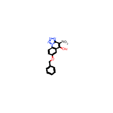 O=[N+]([O-])c1c(O)c2cc(OCc3ccccc3)ccc2n2nnnc12